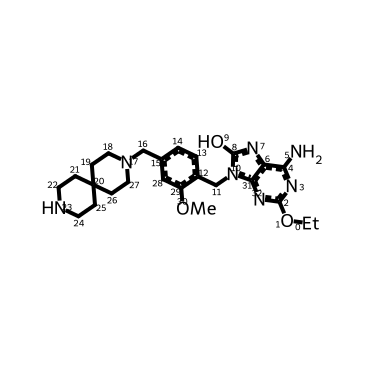 CCOc1nc(N)c2nc(O)n(Cc3ccc(CN4CCC5(CCNCC5)CC4)cc3OC)c2n1